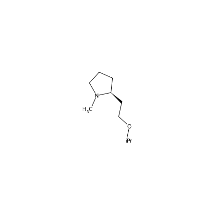 CC(C)OCC[C@@H]1CCCN1C